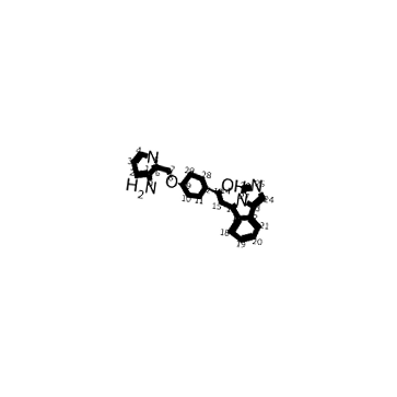 Nc1cccnc1CO[C@H]1CC[C@H](C(O)CC2c3ccccc3-c3cncn32)CC1